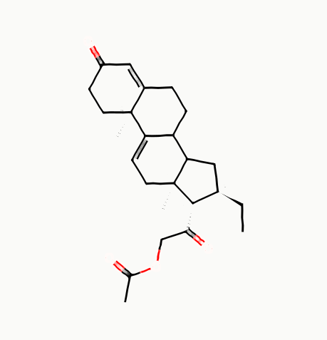 CC[C@@H]1CC2C3CCC4=CC(=O)CC[C@]4(C)C3=CC[C@]2(C)[C@H]1C(=O)COC(C)=O